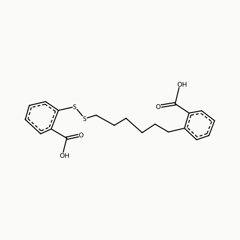 O=C(O)c1ccccc1CCCCCCSSc1ccccc1C(=O)O